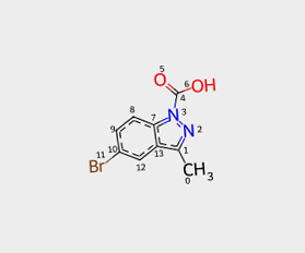 Cc1nn(C(=O)O)c2ccc(Br)cc12